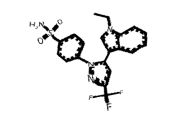 CCn1cc(-c2cc(C(F)(F)F)nn2-c2ccc(S(N)(=O)=O)cc2)c2ccccc21